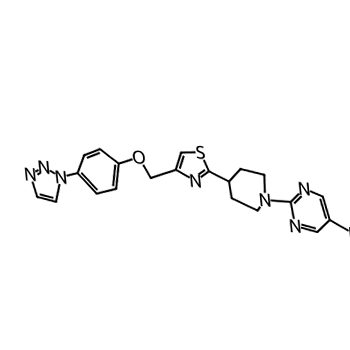 CCc1cnc(N2CCC(c3nc(COc4ccc(-n5ccnn5)cc4)cs3)CC2)nc1